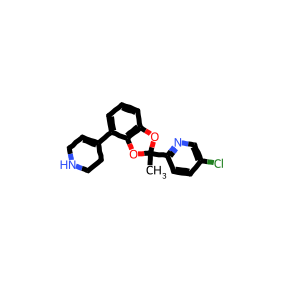 CC1(c2ccc(Cl)cn2)Oc2cccc(C3=CCNCC3)c2O1